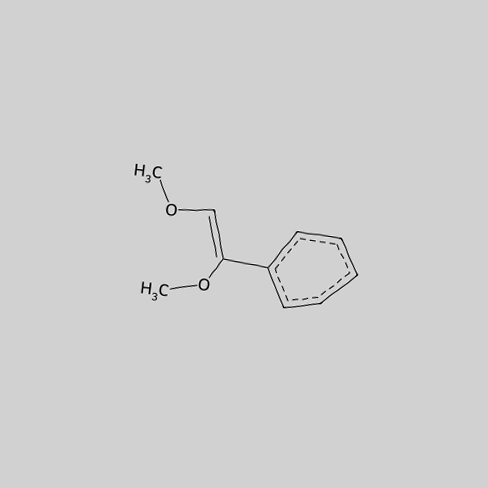 COC=C(OC)c1ccccc1